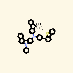 CC1(C)c2ccccc2-c2ccc(N(c3ccc(-c4cccc5c4sc4ccccc45)cc3)c3ccc4c(c3)c3c5ccccc5ccc3n4-c3ccccc3)cc21